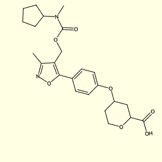 Cc1noc(-c2ccc(OC3CCOC(C(=O)O)C3)cc2)c1COC(=O)N(C)C1CCCC1